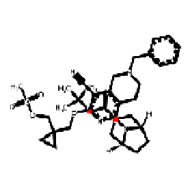 CC(C)(C)OC(=O)N1C[C@H]2CC[C@@H](C1)N2c1nc(OCC2(COS(C)(=O)=O)CC2)c(C#N)c2c1CCN(Cc1ccccc1)C2